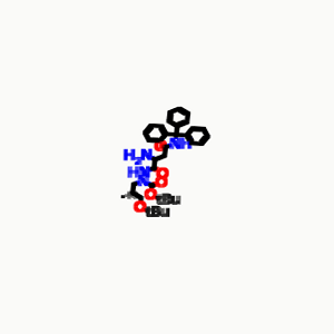 C[C@@H](COC(C)(C)C)CN(NC(=O)C(N)CC(=O)NC(c1ccccc1)(c1ccccc1)c1ccccc1)C(=O)OC(C)(C)C